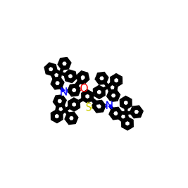 c1ccc(C2(c3ccccc3)c3ccccc3-c3ccc(N(c4ccc5c(c4)C(c4ccccc4)(c4ccc(-c6cccc7c6sc6ccc(N(c8ccc9c(c8)C(c8ccccc8)(c8ccccc8)c8ccccc8-9)c8ccc9c(c8)C(c8ccccc8)(c8ccccc8)c8ccccc8-9)cc67)cc4)c4ccccc4-5)c4ccc5oc6ccccc6c5c4)cc32)cc1